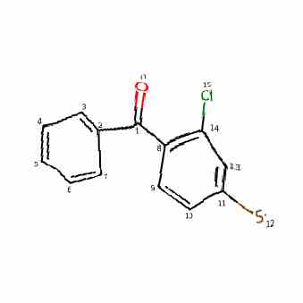 O=C(c1ccccc1)c1ccc([S])cc1Cl